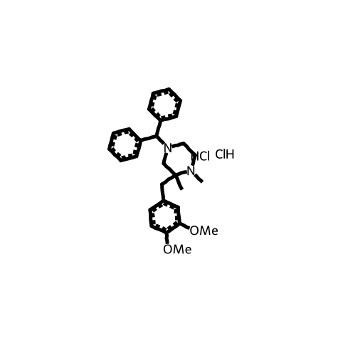 COc1ccc(CC2(C)CN(C(c3ccccc3)c3ccccc3)CCN2C)cc1OC.Cl.Cl